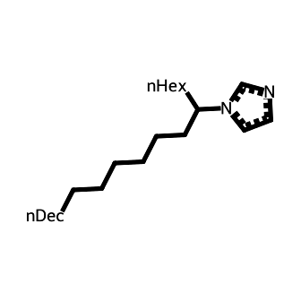 CCCCCCCCCCCCCCCCC(CCCCCC)n1ccnc1